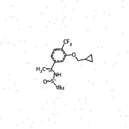 C[C@H](N[S+]([O-])C(C)(C)C)c1ccc(C(F)(F)F)c(OCC2CC2)c1